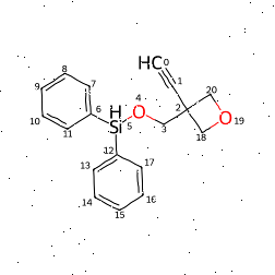 C#CC1(CO[SiH](c2ccccc2)c2ccccc2)COC1